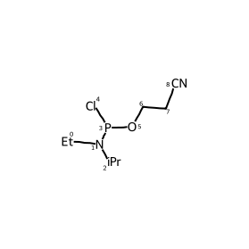 CCN(C(C)C)P(Cl)OCCC#N